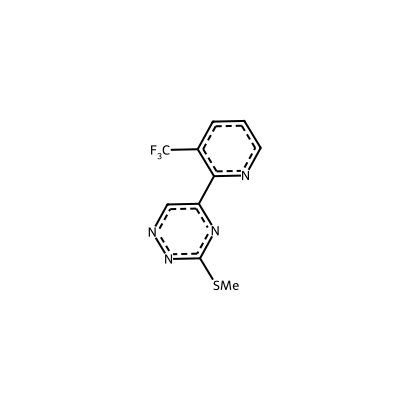 CSc1nncc(-c2ncccc2C(F)(F)F)n1